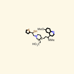 CN[C@@H](CC[C@@H]1CCN(CC(S)c2cccs2)C[C@@H]1CC(=O)O)c1ccnc2ccc(OC)cc12